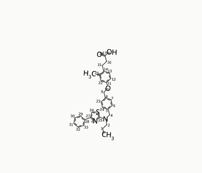 CCCN(Cc1ccc(COc2ccc(CCC(=O)O)c(C)c2)cc1)c1nc(-c2ccccc2)cs1